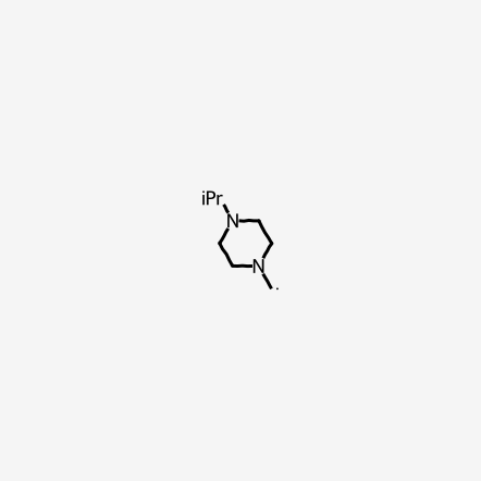 [CH2]N1CCN(C(C)C)CC1